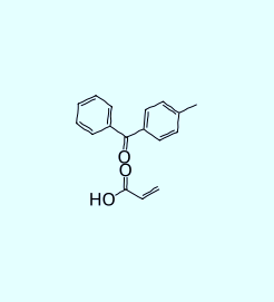 C=CC(=O)O.Cc1ccc(C(=O)c2ccccc2)cc1